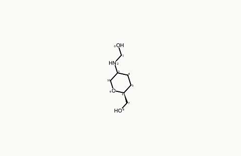 OCNC1CC[C@@H](CO)OC1